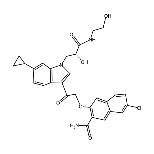 NC(=O)c1cc2cc(Cl)ccc2cc1OCC(=O)c1cn(C[C@@H](O)C(=O)NCCO)c2cc(C3CC3)ccc12